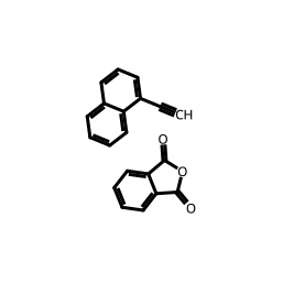 C#Cc1cccc2ccccc12.O=C1OC(=O)c2ccccc21